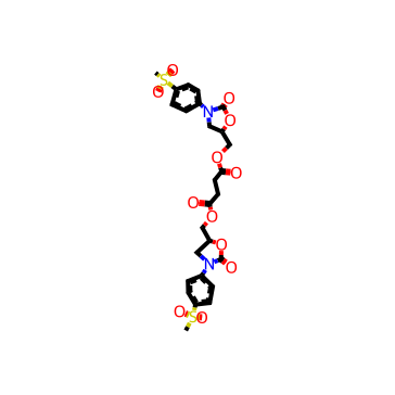 CS(=O)(=O)c1ccc(N2CC(COC(=O)CCC(=O)OCC3CN(c4ccc(S(C)(=O)=O)cc4)C(=O)O3)OC2=O)cc1